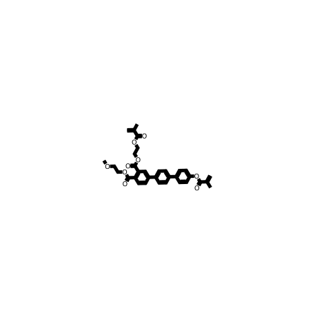 C=C(C)C(=O)OCCOC(=O)c1cc(-c2ccc(-c3ccc(OC(=O)C(=C)C)cc3)cc2)ccc1C(=O)OCCOC